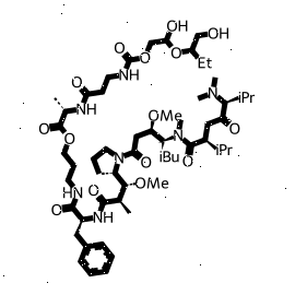 CCC(CO)OC(O)COC(=O)NCCC(=O)N[C@@H](C)C(=O)OCCCNC(=O)[C@H](Cc1ccccc1)NC(=O)[C@H](C)[C@@H](OC)[C@@H]1CCCN1C(=O)C[C@@H](OC)[C@H]([C@@H](C)CC)N(C)C(=O)[C@@H](CC(=O)[C@H](C(C)C)N(C)C)C(C)C